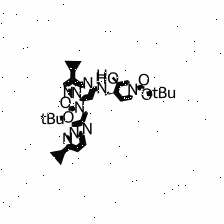 CC(C)(C)OC(=O)N1CC[C@H](CNc2cc(N(Cc3cn4nc(C5CC5)ccc4n3)C(=O)OC(C)(C)C)n3ncc(C4CC4)c3n2)[C@@H](O)C1